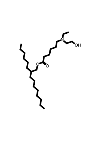 CCCCCCCCC(CCCCCC)COC(=O)CCCCCN(CC)CCO